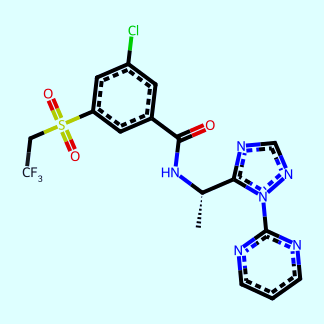 C[C@H](NC(=O)c1cc(Cl)cc(S(=O)(=O)CC(F)(F)F)c1)c1ncnn1-c1ncccn1